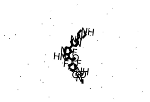 CCN(C)S(=O)(=O)Nc1ccc(F)c(C(=O)c2c[nH]c3ncc(-c4cnc(N5CCNCC5)nc4)c(F)c23)c1F